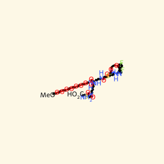 COCCOCCOCCOCCOCCOCCOCCOCCNC(=O)[C@H](CCCCNC(=O)CC[S+]([O-])Cc1cc2nc(c1)OCCCOc1cc(F)ccc1-c1cc(ncc1F)N2)NC(=O)CCCCCN1C(=O)CC(SC[C@H](N)C(=O)O)C1=O